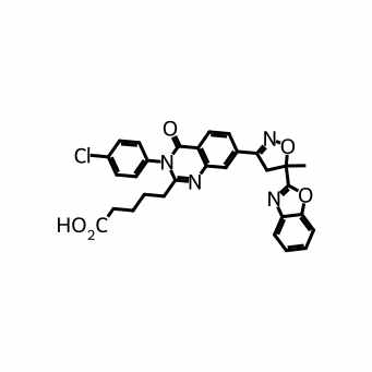 CC1(c2nc3ccccc3o2)CC(c2ccc3c(=O)n(-c4ccc(Cl)cc4)c(CCCCC(=O)O)nc3c2)=NO1